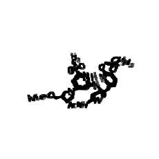 COC[C@@H]1CCN(c2cc(Nc3cc(NC(C)=O)ncc3-c3ccc4c(n3)OCC(C)(C)O4)nc(S(C)(=O)=O)c2)C1